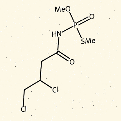 COP(=O)(NC(=O)CC(Cl)CCl)SC